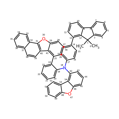 CC1(C)c2ccccc2-c2cccc(-c3ccc(N(c4ccccc4-c4cccc5oc6c7ccccc7ccc6c45)c4cccc5oc6ccccc6c45)cc3)c21